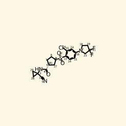 N#CC1(NC(=O)[C@@H]2CC[C@@H](S(=O)(=O)c3ccc(N4CCC(F)(F)C4)cc3Cl)C2)CC1